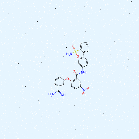 N=C(N)c1cccc(Oc2ccc([N+](=O)[O-])cc2C(=O)Nc2ccc(-c3ccccc3S(N)(=O)=O)cc2)c1